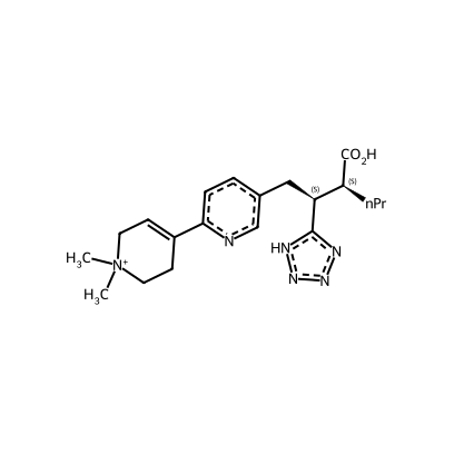 CCC[C@H](C(=O)O)[C@H](Cc1ccc(C2=CC[N+](C)(C)CC2)nc1)c1nnn[nH]1